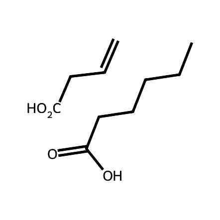 C=CCC(=O)O.CCCCCC(=O)O